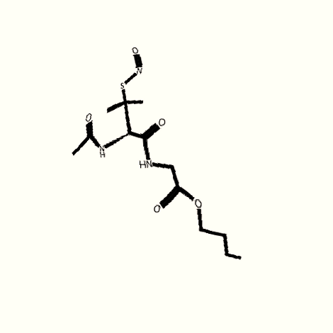 CCCCOC(=O)CNC(=O)[C@@H](NC(C)=O)C(C)(C)SN=O